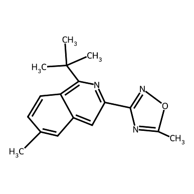 Cc1ccc2c(C(C)(C)C)nc(-c3noc(C)n3)cc2c1